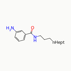 CCCCCCCCCCNC(=O)c1cccc(N)c1